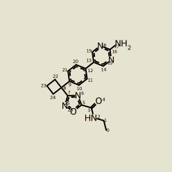 CCNC(=O)c1nc(C2(c3ccc(-c4cnc(N)nc4)cc3)CCC2)no1